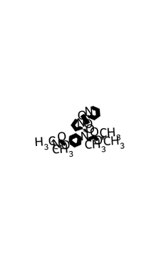 CC(C)OC(=O)[C@H](C)N(C(=O)[C@@H]1CCCN1S(=O)(=O)c1ccccn1)c1ccc(OC(=O)N(C)C)cc1